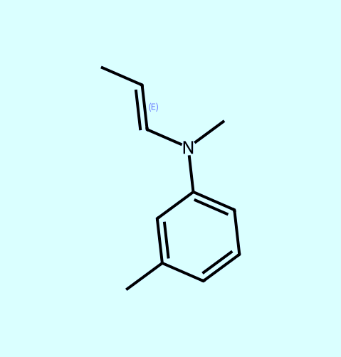 C/C=C/N(C)c1cccc(C)c1